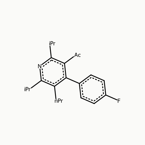 CCCc1c(C(C)C)nc(C(C)C)c(C(C)=O)c1-c1ccc(F)cc1